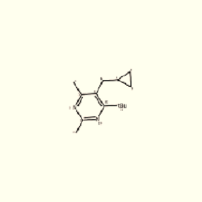 Cc1nc(C)c(CC2CC2)c(C(C)(C)C)n1